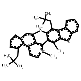 Cc1c2c(c(CC(C)(C)C)c3c1sc1ccccc13)Oc1cc3cccc(CC(C)(C)C)c3c3cc[n+](C)c-2c13